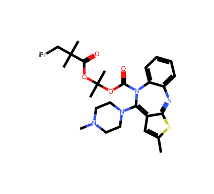 Cc1cc2c(s1)=Nc1ccccc1N(C(=O)OC(C)(C)OC(=O)C(C)(C)CC(C)C)C=2N1CCN(C)CC1